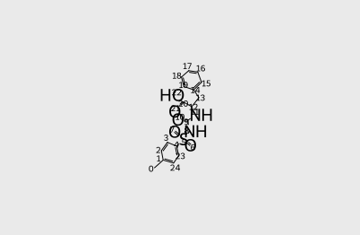 Cc1ccc(S(=O)(=O)NC(=O)NC(Cc2ccccc2)C(=O)O)cc1